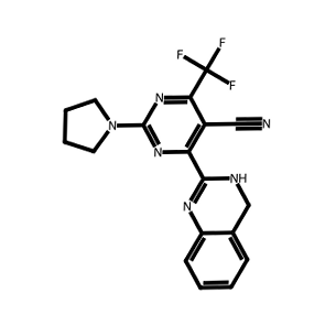 N#Cc1c(C2=Nc3ccccc3CN2)nc(N2CCCC2)nc1C(F)(F)F